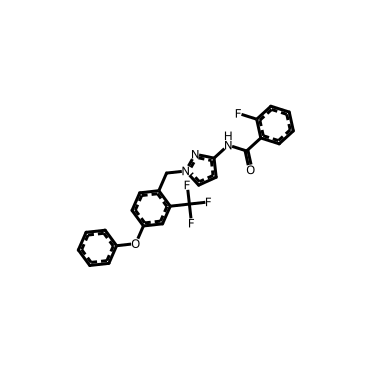 O=C(Nc1ccn(Cc2ccc(Oc3ccccc3)cc2C(F)(F)F)n1)c1ccccc1F